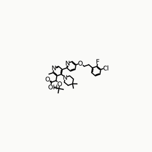 Cc1ncc(-c2ccc(OCCc3cccc(Cl)c3F)cn2)c(N2CCC(C)(C)CC2)c1C(OC(C)(C)C)C(=O)O